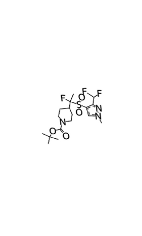 Cn1cc(S(=O)(=O)C(C)(F)C2CCN(C(=O)OC(C)(C)C)CC2)c(C(F)F)n1